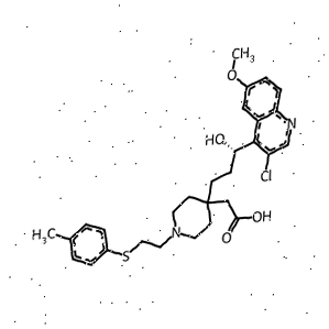 COc1ccc2ncc(Cl)c([C@@H](O)CCC3(CC(=O)O)CCN(CCSc4ccc(C)cc4)CC3)c2c1